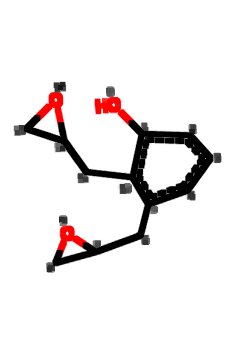 Oc1cccc(CC2CO2)c1CC1CO1